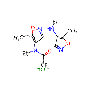 CCN(C(=O)C(F)(F)F)c1cnoc1C.CCNc1cnoc1C.Cl